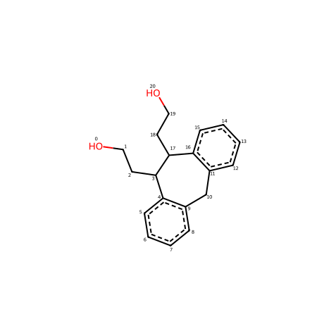 OCCC1c2ccccc2Cc2ccccc2C1CCO